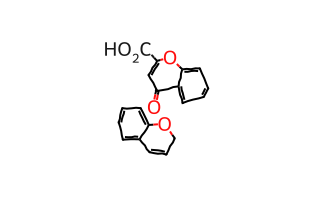 C1=Cc2ccccc2OC1.O=C(O)c1cc(=O)c2ccccc2o1